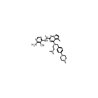 Cc1ccn2nc([C@H](C)Nc3ncnc(N)c3C#N)nc(N(CCN(C)C)Cc3ccc(N4CCN(C)CC4)cc3)c12